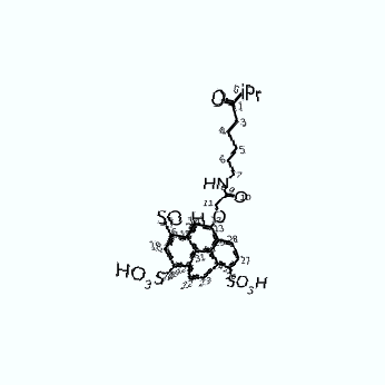 CC(C)C(=O)CCCCCNC(=O)COc1cc2c(S(=O)(=O)O)cc(S(=O)(=O)O)c3ccc4c(S(=O)(=O)O)ccc1c4c32